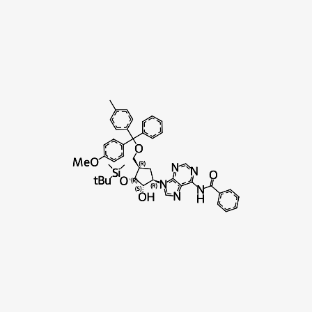 COc1ccc(C(OC[C@H]2C[C@@H](n3cnc4c(NC(=O)c5ccccc5)ncnc43)[C@H](O)[C@@H]2O[Si](C)(C)C(C)(C)C)(c2ccccc2)c2ccc(C)cc2)cc1